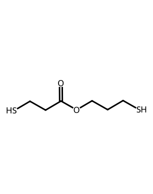 O=C(CCS)OCCCS